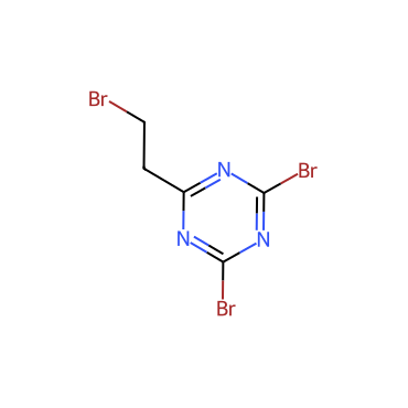 BrCCc1nc(Br)nc(Br)n1